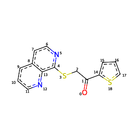 O=C(CSc1nccc2cccnc12)c1cccs1